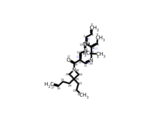 C=C/C=N\C(=C/C)C(C)(C)/N=C\C(=C/N=C)C(=O)N1CC(CCC)(CCC=C)C1